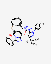 CSC(C)(C)c1cc(NC(=O)NCc2ccccc2Sc2ccc3nnc(-c4ccccc4O)n3c2)n(-c2ccc(C)cc2)n1